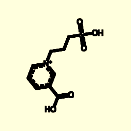 O=C(O)c1ccc[n+](CCCS(=O)(=O)O)c1